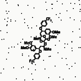 CNC(CC(Oc1ccc(C(F)(F)F)cc1)c1ccc(OC)c(OC)c1)OC(=O)C(=O)OC(CC(Oc1ccc(C(F)(F)F)cc1)c1ccc(OC)c(OC)c1)NC